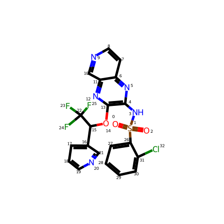 O=S(=O)(Nc1nc2ccncc2nc1OC(c1cccnc1)C(F)(F)F)c1ccccc1Cl